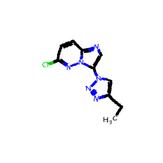 CCc1cn(-c2cnc3ccc(Cl)nn23)nn1